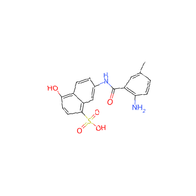 Cc1ccc(N)c(C(=O)Nc2ccc3c(O)ccc(S(=O)(=O)O)c3c2)c1